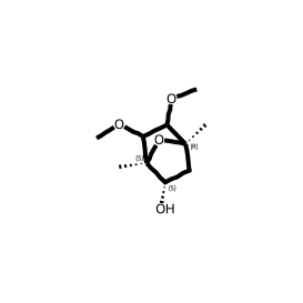 COC1C(OC)[C@@]2(C)O[C@]1(C)C[C@@H]2O